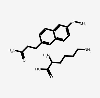 COc1ccc2cc(CCC(C)=O)ccc2c1.NCCCCC(N)C(=O)O